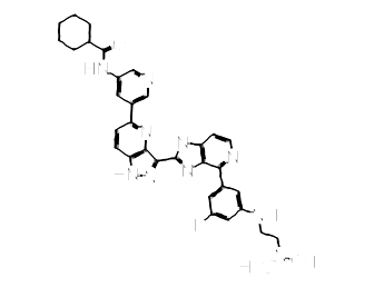 CN(C)CCNc1cc(F)cc(-c2nccc3[nH]c(-c4n[nH]c5ccc(-c6cncc(NC(=O)C7CCCCC7)c6)nc45)nc23)c1